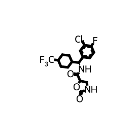 O=C1NCC(C(=O)N[C@@H](c2ccc(F)c(Cl)c2)C2CCC(C(F)(F)F)CC2)O1